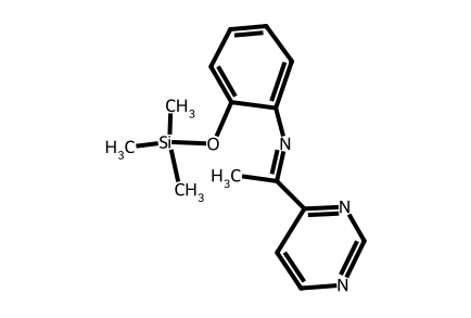 CC(=Nc1ccccc1O[Si](C)(C)C)c1ccncn1